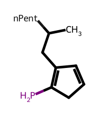 CCCCCC(C)CC1=C(P)CC=C1